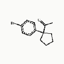 CC(=O)C1(c2ccc(Br)cc2)CCCC1